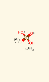 O=S(=O)(O)O.[BiH3].[Mn]